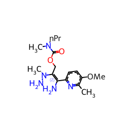 CCCN(C)C(=O)OC/C(=C(/N)c1ccc(OC)c(C)n1)N(C)N